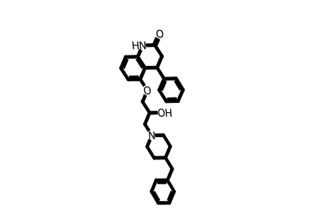 O=C1CC(c2ccccc2)c2c(cccc2OCC(O)CN2CCC(Cc3ccccc3)CC2)N1